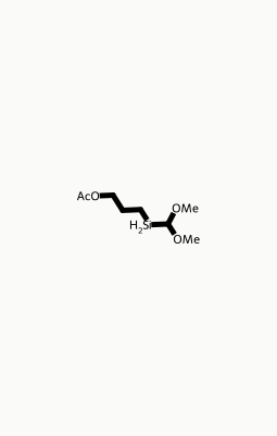 COC(OC)[SiH2]CCCOC(C)=O